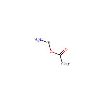 [NH3+][Ti][O]C(=O)C(=O)[O-]